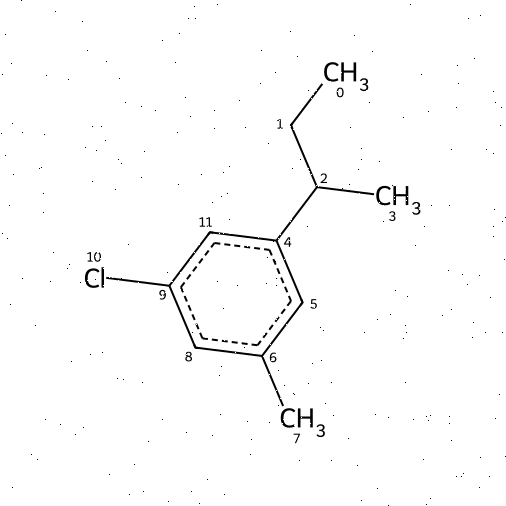 CCC(C)c1cc(C)cc(Cl)c1